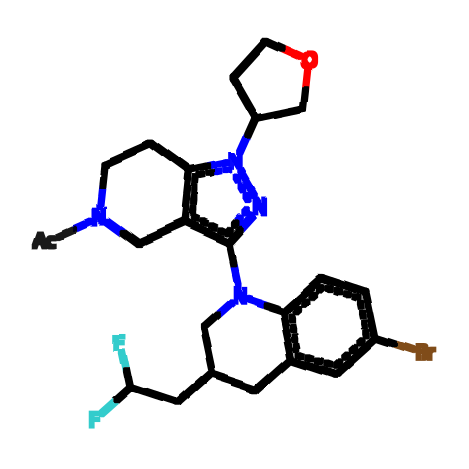 CC(=O)N1CCc2c(c(N3CC(CC(F)F)Cc4cc(Br)ccc43)nn2C2CCOC2)C1